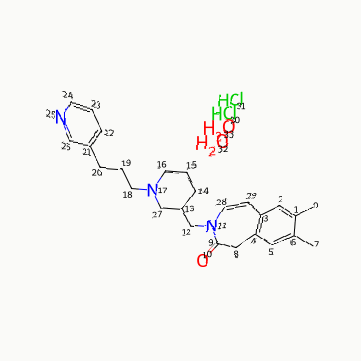 Cc1cc2c(cc1C)CC(=O)N(CC1CCCN(CCCc3cccnc3)C1)C=C2.Cl.Cl.O.O